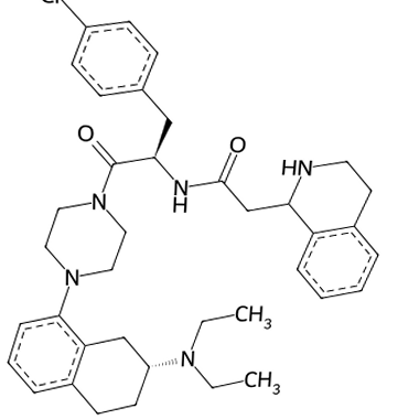 CCN(CC)[C@@H]1CCc2cccc(N3CCN(C(=O)[C@@H](Cc4ccc(Cl)cc4)NC(=O)CC4NCCc5ccccc54)CC3)c2C1